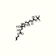 C=CCOC(=O)NCC1(O)CN(C[C@H](O)CNC(=O)OC(C)(C)C)C1